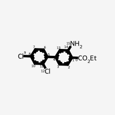 CCOC(=O)c1ccc(-c2ccc(Cl)cc2Cl)cc1N